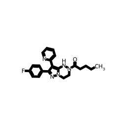 CCCCC(=O)N1CCn2nc(-c3ccc(F)cc3)c(-c3ccccn3)c2N1